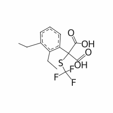 CCc1cccc(C(SC(F)(F)F)(C(=O)O)C(=O)O)c1CC